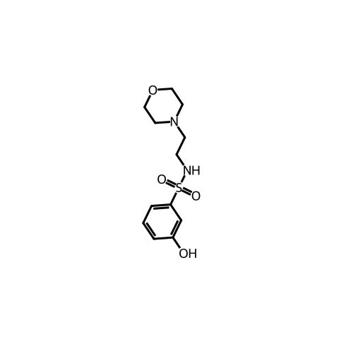 O=S(=O)(NCCN1CCOCC1)c1cccc(O)c1